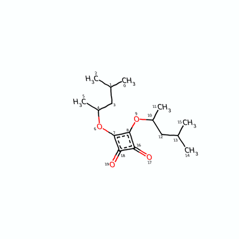 CC(C)CC(C)Oc1c(OC(C)CC(C)C)c(=O)c1=O